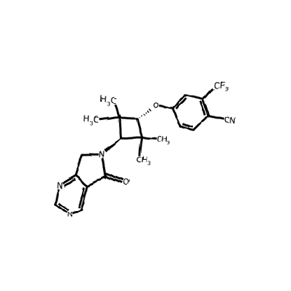 CC1(C)[C@H](Oc2ccc(C#N)c(C(F)(F)F)c2)C(C)(C)[C@H]1N1Cc2ncncc2C1=O